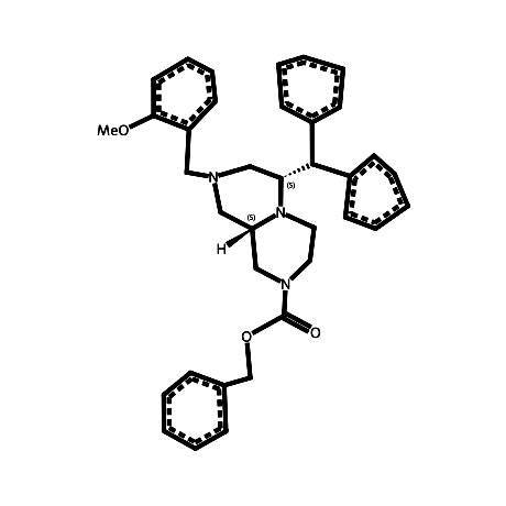 COc1ccccc1CN1C[C@H]2CN(C(=O)OCc3ccccc3)CCN2[C@@H](C(c2ccccc2)c2ccccc2)C1